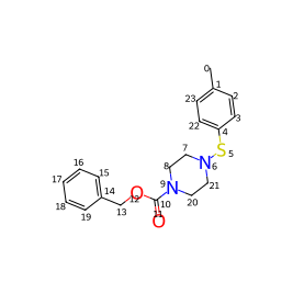 Cc1ccc(SN2CCN(C(=O)OCc3ccccc3)CC2)cc1